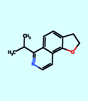 CC(C)c1nccc2c3c(ccc12)CCO3